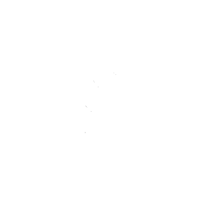 CC(C)O[C@H]1CC[C@@]2(C)C(=CCC3C4CC5C([C@H](C)C6CC[C@H](C)CN56)[C@@]4(C)CCC32)C1